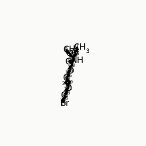 CCOCC(COCC)NC(=O)CCOCCOC1CC(OCCOCCBr)C1